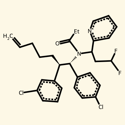 C=CCCC[C@H](c1cccc(Cl)c1)[C@@H](c1ccc(Cl)cc1)N(C(=O)CC)C(CC(F)F)c1ccccn1